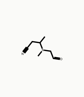 CC(CC#N)N(C)CC=O